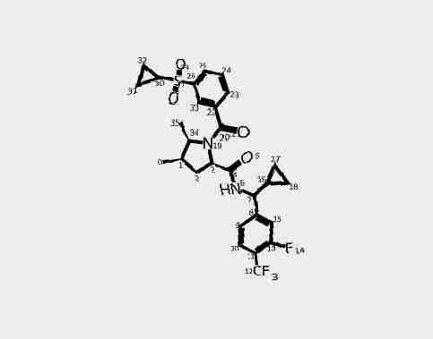 C[C@@H]1C[C@H](C(=O)NC(c2ccc(C(F)(F)F)c(F)c2)C2CC2)N(C(=O)c2cccc(S(=O)(=O)C3CC3)c2)[C@@H]1C